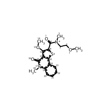 COCCN(C)C(=O)c1sc2c(c1OC)c(=O)n(C)c1ccccc21